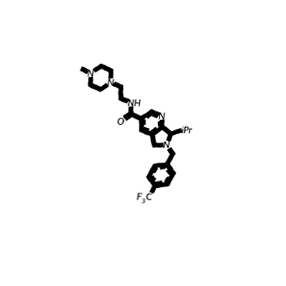 CC(C)C1c2ncc(C(=O)NCCN3CCN(C)CC3)cc2CN1Cc1ccc(C(F)(F)F)cc1